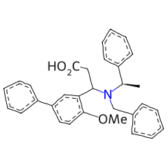 COc1ccc(-c2ccccc2)cc1C(CC(=O)O)N(Cc1ccccc1)[C@H](C)c1ccccc1